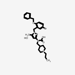 CCCN1CCC(CN(C(=O)O)c2cc(C)n(Cc3cc(Br)ccc3OCc3ccccc3)n2)CC1.Cl